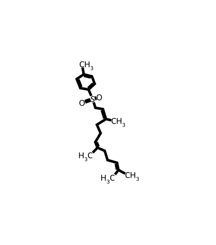 CC(C)=CCCC(C)=CCCC(C)=CCS(=O)(=O)c1ccc(C)cc1